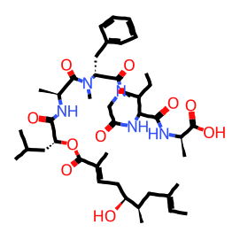 C/C=C(\C)C[C@@H](C)[C@@H](O)C/C=C(\C)C(=O)O[C@H](CC(C)C)C(=O)N[C@@H](C)C(=O)N(C)[C@H](Cc1ccccc1)C(=O)N(C)CC(=O)NC(C(=O)N[C@H](C)C(=O)O)C(C)CC